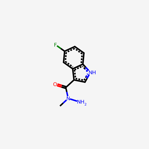 CN(N)C(=O)c1c[nH]c2ccc(F)cc12